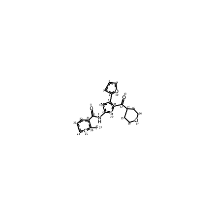 O=C(Nc1nc(-c2ccco2)c(C(=O)C2CCOCC2)s1)c1ccccc1F